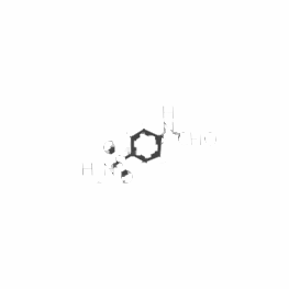 NS(=O)(=O)c1ccc(NC=O)cc1